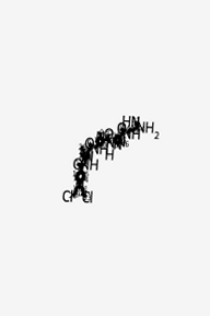 Cn1cc(NC(=O)c2nc(NC(=O)c3ccc(N(CCCl)CCCl)cc3)cn2C)cc1C(=O)Nc1cc(C(=O)NCCC(=N)N)n(C)n1